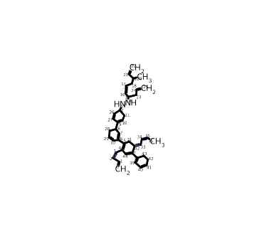 C=C/C=C\C1=C(C2=CC(C3=CCC(NNC(/C=C\CC(C)C=C)CC=C)C=C3)CC=C2)C/C(=C\C=C/C)C(C2=CC=CCC2)=C1